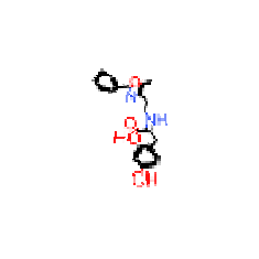 Cc1oc(-c2ccccc2)nc1CCN[C@@H](Cc1ccc(O)cc1)C(=O)O